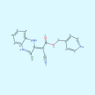 N#CC(C(=O)OCc1ccncc1)=C1Nc2ccccc2N=C1Cl